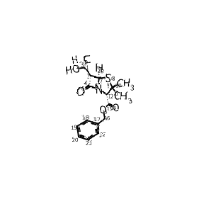 C[C@@H](O)[C@H]1C(=O)N2[C@@H]1SC(C)(C)[C@@H]2C(=O)OCc1ccccc1